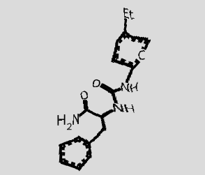 CCc1ccc(NC(=O)NC(Cc2ccccc2)C(N)=O)cc1